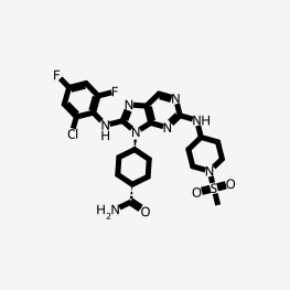 CS(=O)(=O)N1CCC(Nc2ncc3nc(Nc4c(F)cc(F)cc4Cl)n([C@H]4CC[C@@H](C(N)=O)CC4)c3n2)CC1